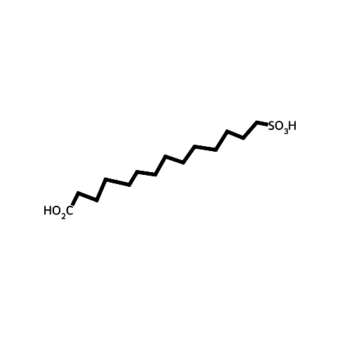 O=C(O)CCCCCCCCCCCCCS(=O)(=O)O